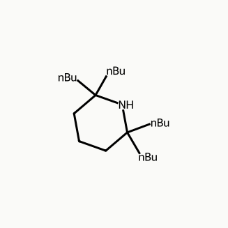 CCCCC1(CCCC)CCCC(CCCC)(CCCC)N1